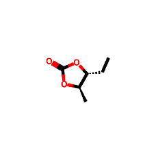 CC[C@H]1OC(=O)O[C@@H]1C